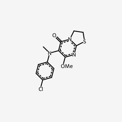 COc1nc2n(c(=O)c1N(C)c1ccc(Cl)cc1)CCS2